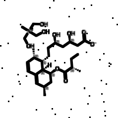 CC[C@H](C)C(=O)O[C@H]1C[C@@H](C)C=C2C=C[C@H](C)[C@H](CC[C@@H](O)C[C@@H](O)CC(=O)[O-])[C@H]21.C[N+](CO)(CO)CO